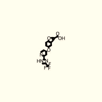 O=C(O)C1C2Oc3ccc(Oc4ccnc(-c5nc(C(F)(F)F)c[nH]5)c4)cc3C21